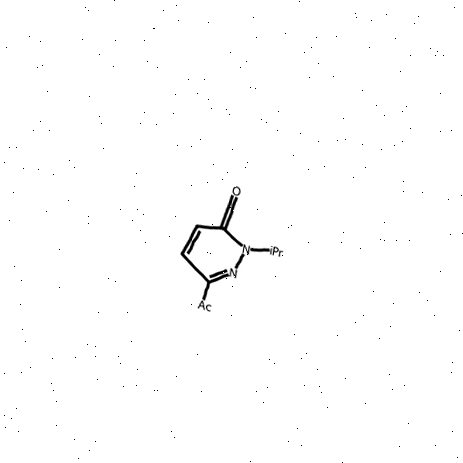 CC(=O)c1ccc(=O)n(C(C)C)n1